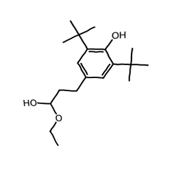 CCOC(O)CCc1cc(C(C)(C)C)c(O)c(C(C)(C)C)c1